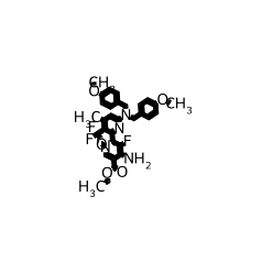 CCOC(=O)c1c[n+]([O-])c(-c2nc(N(Cc3ccc(OC)cc3)Cc3ccc(OC)cc3)cc(C)c2C(F)(F)F)c(F)c1N